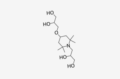 CC1(C)CC(OCC(O)CO)CC(C)(C)N1CC(O)CO